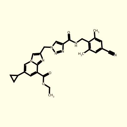 CCOC(=O)c1cc(C2CC2)cn2cc(Cn3cc(C(=O)NCc4c(C)cc(C#N)cc4C)nn3)nc12